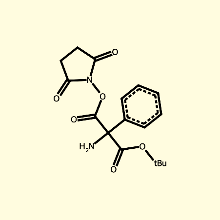 CC(C)(C)OC(=O)C(N)(C(=O)ON1C(=O)CCC1=O)c1ccccc1